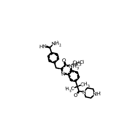 Cl.Cl.Cn1c(=O)c(Cc2ccc(C(=N)N)cc2)nc2cc(C(C)(C)C(=O)N3CCNCC3)ccc21